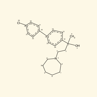 CC(O)(CCN1CCCCCC1)c1ccc(-c2ccc(Cl)cc2)cc1